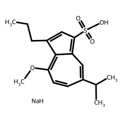 CCCc1cc(S(=O)(=O)O)c2cc(C(C)C)ccc(OC)c1-2.[NaH]